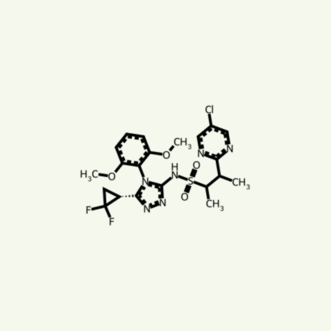 COc1cccc(OC)c1-n1c(NS(=O)(=O)C(C)C(C)c2ncc(Cl)cn2)nnc1[C@H]1CC1(F)F